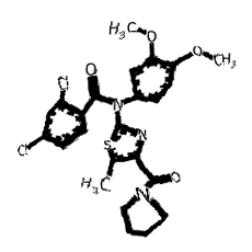 COc1ccc(N(C(=O)c2ccc(Cl)cc2Cl)c2nc(C(=O)N3CCCC3)c(C)s2)cc1OC